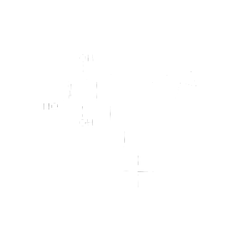 CC(C)(C)CCCCCc1c(O)c(O)cc(O)c1CCCCCC1(C)CC1